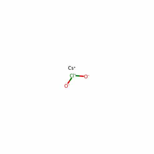 [Cs+].[O-][Cl+][O-]